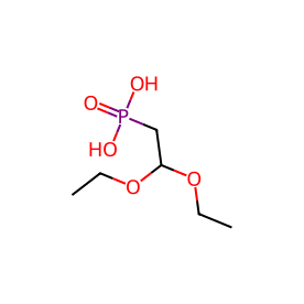 CCOC(CP(=O)(O)O)OCC